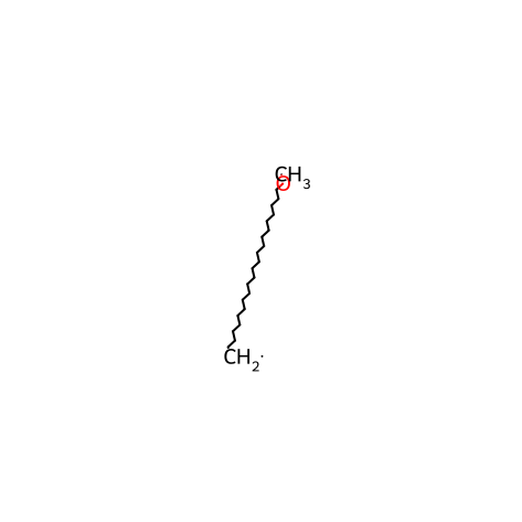 [CH2]CCCCCCCCCCCCCCCCCCCCCOC